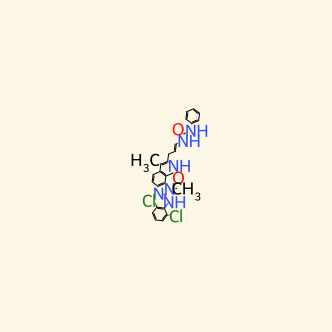 Cc1c(CC=CNC(=O)Nc2ccccc2)[nH]c(=O)c2c1ccc1nc(Nc3c(Cl)cccc3Cl)n(C)c12